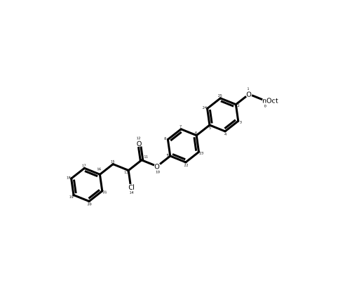 CCCCCCCCOc1ccc(-c2ccc(OC(=O)C(Cl)Cc3ccccc3)cc2)cc1